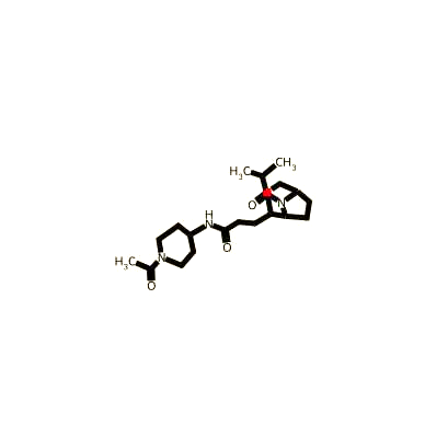 CC(=O)N1CCC(NC(=O)CCC2OCC3CCC2N3C(=O)C(C)C)CC1